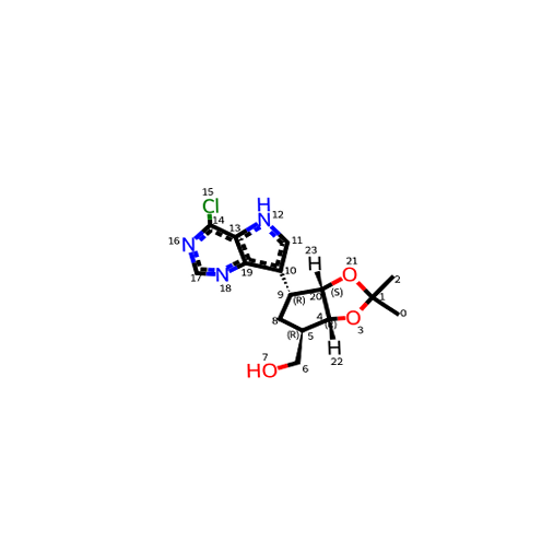 CC1(C)O[C@@H]2[C@@H](CO)C[C@H](c3c[nH]c4c(Cl)ncnc34)[C@@H]2O1